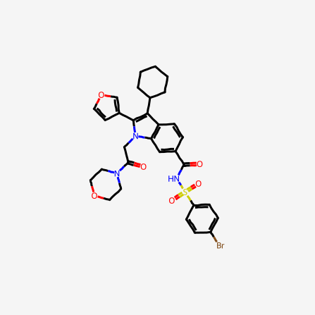 O=C(NS(=O)(=O)c1ccc(Br)cc1)c1ccc2c(C3CCCCC3)c(-c3ccoc3)n(CC(=O)N3CCOCC3)c2c1